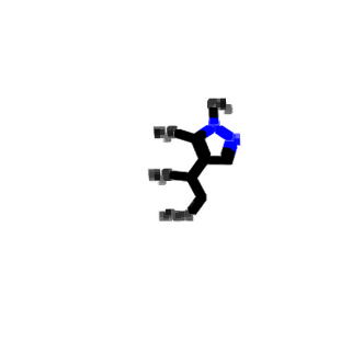 CCCCCCC(C)c1cnn(C)c1C